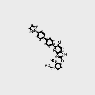 OC[C@H]1CC[C@@H](Oc2nc3nc(-c4ccc(-c5ccc(-n6nccn6)cc5)cc4)c(Cl)cc3[nH]2)[C@@H]1O